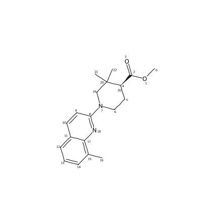 COC(=O)[C@H]1CCN(c2ccc3cccc(C)c3n2)CC1(C)C